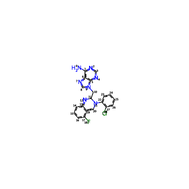 Nc1ncnc2c1ncn2CC1N=c2cccc(F)c2=CN1c1ccccc1Cl